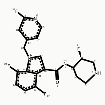 O=C(NC1CCNC[C@@H]1F)c1cn(Cc2ccnc(F)c2)c2c(F)ccc(F)c12